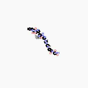 [2H]C([2H])([2H])n1cc(-c2ccnc(N3CCn4c(cc5c4CC(C)(C)C5)C3=O)c2CO)cc(Nc2ccc(N3CCN([C@H]4CCN(c5ccc6c(c5)CN(C5CCC(=O)NC5=O)C6=O)[C@H](C)C4)C[C@@H]3C)cn2)c1=O